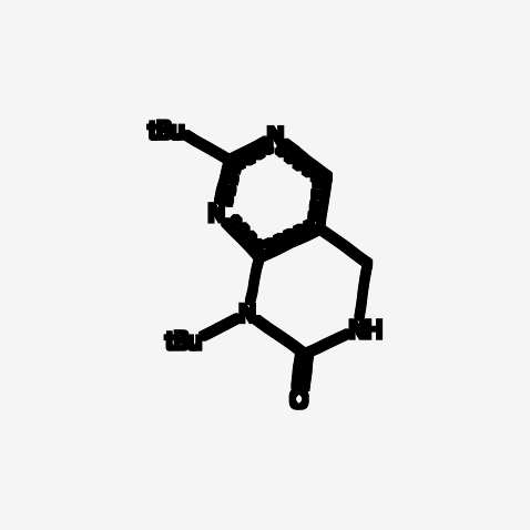 CC(C)(C)c1ncc2c(n1)N(C(C)(C)C)C(=O)NC2